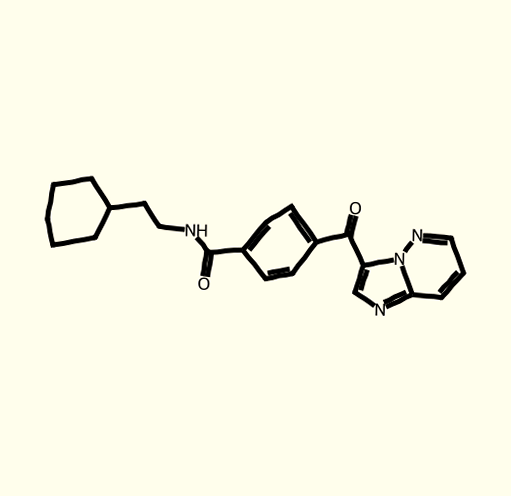 O=C(NCCC1CCCCC1)c1ccc(C(=O)c2cnc3cccnn23)cc1